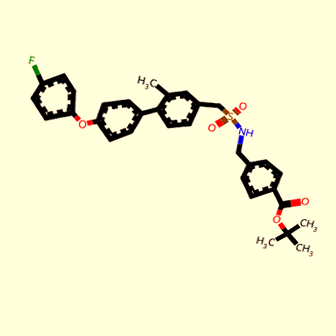 Cc1cc(CS(=O)(=O)NCc2ccc(C(=O)OC(C)(C)C)cc2)ccc1-c1ccc(Oc2ccc(F)cc2)cc1